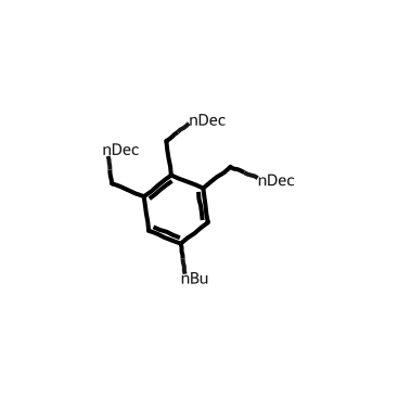 [CH2]CCCc1cc(CCCCCCCCCCC)c(CCCCCCCCCCC)c(CCCCCCCCCCC)c1